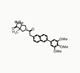 CNC(=O)C1(C)CN(C(=O)Cc2ccc3cc(-c4cc(OC)c(OC)c(OC)c4)ccc3c2)CC1C